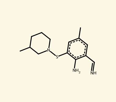 Cc1cc(C=N)c(N)c(SN2CCCC(C)C2)c1